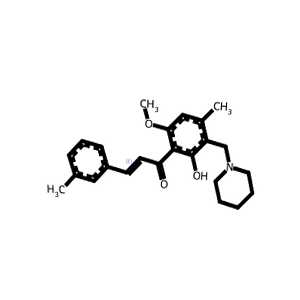 COc1cc(C)c(CN2CCCCC2)c(O)c1C(=O)/C=C/c1cccc(C)c1